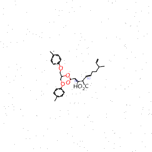 C=CC(C)CC/C=C/C(C)/C(=C/C(=O)OC(COc1ccc(C)cc1)COc1ccc(C)cc1)C(=O)O